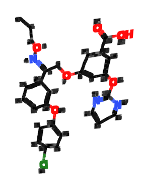 CCCO/N=C(\COc1cc(Oc2ncccn2)cc(C(=O)O)c1)c1cccc(Oc2ccc(Cl)cc2)c1